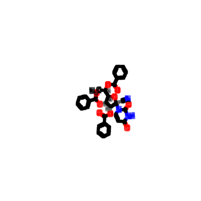 C[C@@H](OC(=O)c1ccccc1)[C@H]1O[C@@](C#N)(n2ccc(=O)[nH]c2=O)[C@H](OC(=O)c2ccccc2)[C@@H]1OC(=O)c1ccccc1